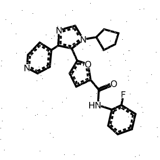 O=C(Nc1ccccc1F)c1ccc(-c2c(-c3ccncc3)ncn2C2CCCC2)o1